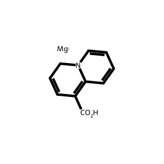 O=C(O)C1=C2C=CC=CN2CC=C1.[Mg]